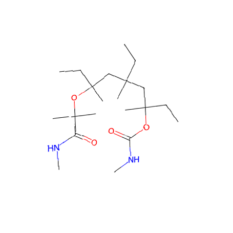 CCC(C)(CC(C)(CC)OC(=O)NC)CC(C)(CC)OC(C)(C)C(=O)NC